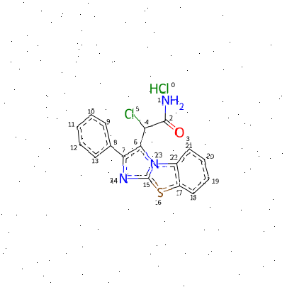 Cl.NC(=O)C(Cl)c1c(-c2ccccc2)nc2sc3ccccc3n12